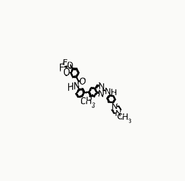 Cc1ccc(NC(=O)c2ccc3c(c2)OC(F)(F)O3)cc1-c1ccc2nc(Nc3ccc(N4CCN(C)CC4)cc3)ncc2c1